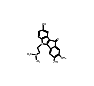 COc1cc2c(cc1OC)-c1c(c3cc(O)ccc3n1CCN(C)C)C2=O